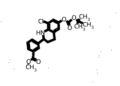 COC(=O)c1cccc(C2CCc3cc(OC(=O)OC(C)(C)C)cc(Cl)c3N2)c1